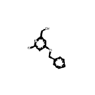 OCc1cc(OCc2ccccc2)cc(Cl)n1